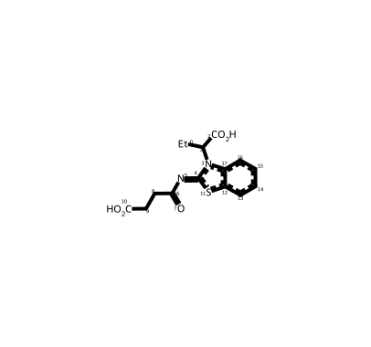 CCC(C(=O)O)n1/c(=N/C(=O)CCC(=O)O)sc2ccccc21